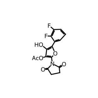 CC(=O)Oc1c(N2C(=O)CCC2=O)oc(-c2cccc(F)c2F)c1O